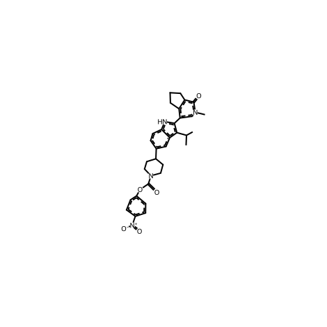 CC(C)c1c(-c2cn(C)c(=O)c3c2CCC3)[nH]c2ccc(C3CCN(C(=O)Oc4ccc([N+](=O)[O-])cc4)CC3)cc12